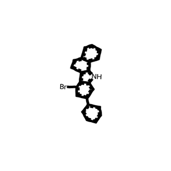 Brc1cc(-c2ccccc2)cc2[nH]c3c4ccccc4ccc3c12